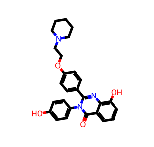 O=c1c2cccc(O)c2nc(-c2ccc(OCCN3CCCCC3)cc2)n1-c1ccc(O)cc1